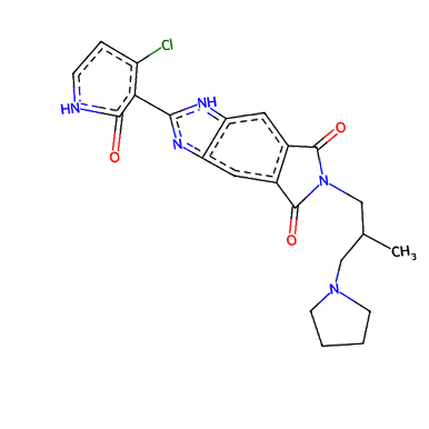 CC(CN1CCCC1)CN1C(=O)c2cc3nc(-c4c(Cl)cc[nH]c4=O)[nH]c3cc2C1=O